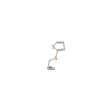 CC(C)(C)CSc1cccs1